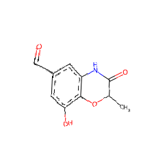 CC1Oc2c(O)cc(C=O)cc2NC1=O